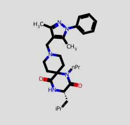 CCCN1C(=O)[C@H](CC(C)C)NC(=O)C12CCN(Cc1c(C)nn(-c3ccccc3)c1C)CC2